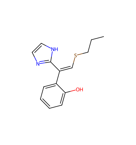 CCCS/C=C(\c1ncc[nH]1)c1ccccc1O